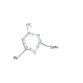 CSc1nc(C(C)C)cc(C(F)(F)F)n1